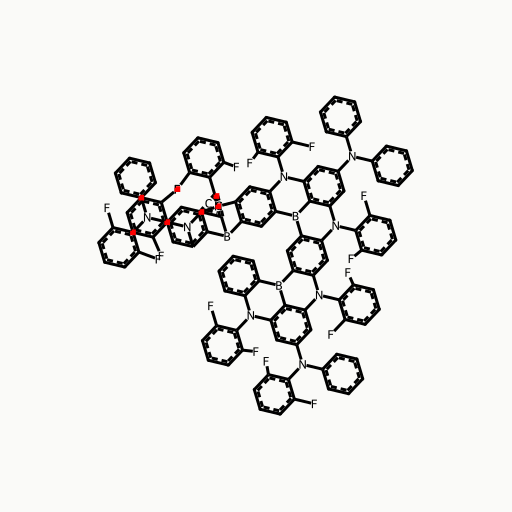 Fc1cccc(F)c1N(c1ccccc1)c1cc2c3c(c1)N(c1c(F)cccc1F)c1cc4c(cc1B3c1ccccc1N2c1c(F)cccc1F)B1c2cc3c(cc2N(c2c(F)cccc2F)c2cc(N(c5ccccc5)c5ccccc5)cc(c21)N4c1c(F)cccc1F)N(c1c(F)cccc1F)c1cc(N(c2ccccc2)c2c(F)cccc2F)cc2c1B3c1ccccc1N2c1c(F)cccc1F